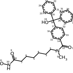 CN(CCCCCCC(=O)NO)C(=O)c1ccc(C(O)(c2ccccn2)c2ccccn2)cc1